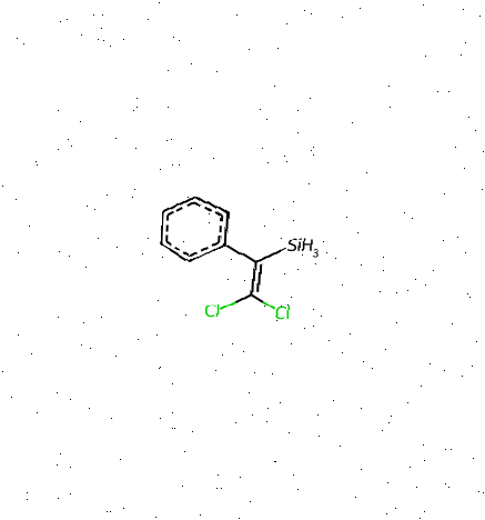 [SiH3]C(=C(Cl)Cl)c1ccccc1